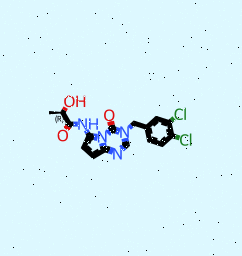 C[C@@H](O)C(=O)Nc1ccc2ncn(Cc3ccc(Cl)c(Cl)c3)c(=O)n12